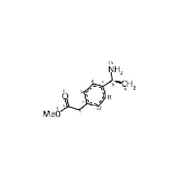 COC(=O)Cc1ccc([C@H](C)N)cc1